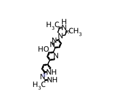 CC(=N)/N=c1/ccc(-c2cnc(-c3ccc(N4C[C@@H](C)N[C@@H](C)C4)nn3)c(O)c2)c[nH]1